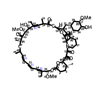 CO[C@H]1C[C@@H]2CC[C@@H](C)[C@@](O)(O2)C(=O)C(=O)N2CCC[C@@H]3C(C[C@@H]4CCC(O)[C@H](OC)C4)[C@H](CC(=O)C(C)/C=C(\C)[C@@H](O)[C@@H](OC)C(=O)[C@H](C)CC(C)/C=C/C=C/C=C/1C)OC(=O)[C@H]32